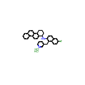 Cl.Cl.Fc1ccc2c(Cc3cccnc3)c(NC3CCCc4c3ccc3c4ccc4ccccc43)ccc2c1